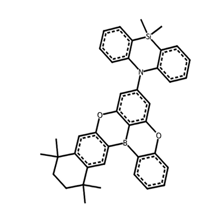 CC1(C)CCC(C)(C)c2cc3c(cc21)Oc1cc(N2c4ccccc4[Si](C)(C)c4ccccc42)cc2c1B3c1ccccc1O2